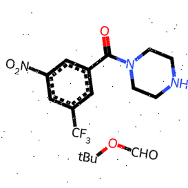 CC(C)(C)OC=O.O=C(c1cc([N+](=O)[O-])cc(C(F)(F)F)c1)N1CCNCC1